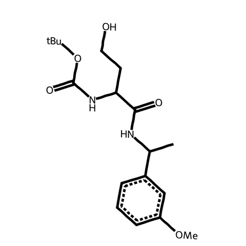 COc1cccc(C(C)NC(=O)C(CCO)NC(=O)OC(C)(C)C)c1